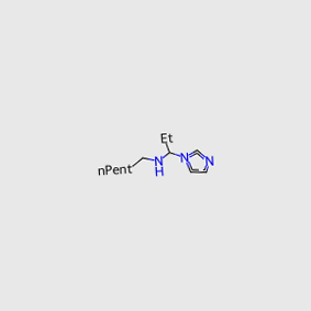 CCCCCCNC(CC)n1ccnc1